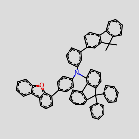 CC1(C)c2ccccc2-c2ccc(-c3cccc(N(c4ccc(-c5cccc6c5oc5ccccc56)cc4)c4cccc5c4-c4ccccc4C5(c4ccccc4)c4ccccc4)c3)cc21